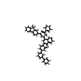 CC1(C)c2ccccc2-c2ccc(-c3cc(-c4cc5c6ccc(-c7cccc(-c8ccccc8)c7)cc6oc5c5ccccc45)nc(-c4ccccc4)n3)cc21